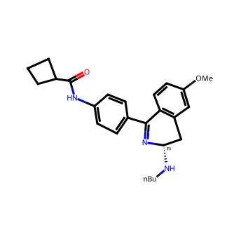 CCCCN[C@H]1Cc2cc(OC)ccc2C(c2ccc(NC(=O)C3CCC3)cc2)=N1